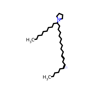 CCCCC/C=C\CC=CCCCCCCCCCC(CCCCCCCCC)N1CCCC1